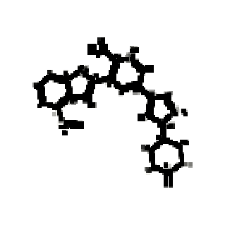 COc1cccc2sc(-c3cc(-c4cnn(C5CCNCC5)c4)cnc3N)nc12